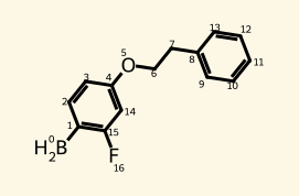 Bc1ccc(OCCc2ccccc2)cc1F